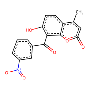 Cc1cc(=O)oc2c(C(=O)c3cccc([N+](=O)[O-])c3)c(O)ccc12